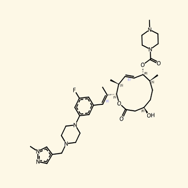 C/C(=C\c1cc(F)cc(N2CCN(Cc3cnn(C)c3)CC2)c1)[C@H]1OC(=O)C[C@H](O)CC[C@H](C)[C@@H](OC(=O)N2CCN(C)CC2)/C=C/[C@@H]1C